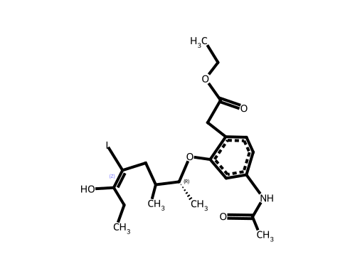 CCOC(=O)Cc1ccc(NC(C)=O)cc1O[C@H](C)C(C)C/C(I)=C(/O)CC